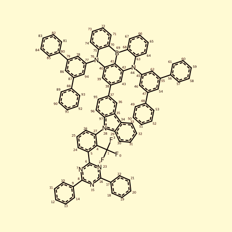 FC(F)(F)c1c(-c2nc(-c3ccccc3)nc(-c3ccccc3)n2)cccc1-n1c2ccccc2c2cc(-c3cc4c5c(c3)N(c3cc(-c6ccccc6)cc(-c6ccccc6)c3)c3ccccc3B5c3ccccc3N4c3cc(-c4ccccc4)cc(-c4ccccc4)c3)ccc21